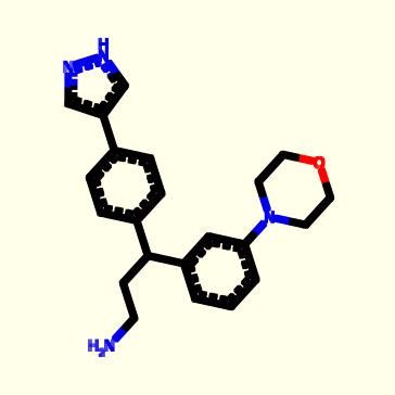 NCCC(c1ccc(-c2cn[nH]c2)cc1)c1cccc(N2CCOCC2)c1